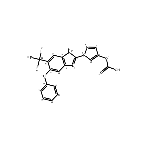 O=C(O)Oc1cnn(-c2nc3cc(Oc4ccccc4)c(C(F)(F)F)cc3[nH]2)c1